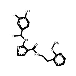 COc1ccccc1CCNC(=O)c1ccsc1NC(O)c1ccc(O)c(Cl)c1